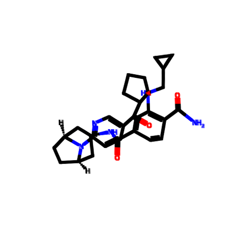 NC(=O)c1ccc(C(=O)N[C@H]2C[C@H]3CC[C@@H](C2)N3c2ccc(C(=O)C3CCCC3)cn2)cc1NCC1CC1